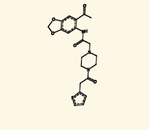 CC(=O)c1cc2c(cc1NC(=O)CN1CCN(C(=O)Cc3cccs3)CC1)OCO2